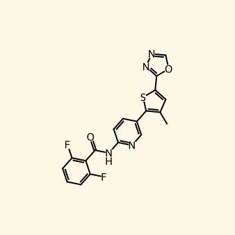 Cc1cc(-c2nnco2)sc1-c1ccc(NC(=O)c2c(F)cccc2F)nc1